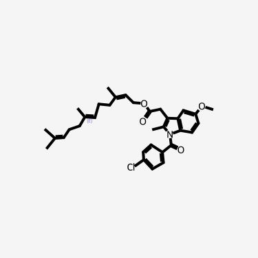 COc1ccc2c(c1)c(CC(=O)OCC=C(C)CC/C=C(\C)CCC=C(C)C)c(C)n2C(=O)c1ccc(Cl)cc1